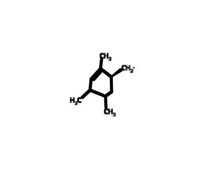 [CH2][C@H]1CC(C)C(C)C=C1C